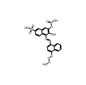 O=S(O)Oc1cc2cc(S(=O)(=O)O)ccc2c(N=Nc2ccc(SOOO)c3ccccc23)c1O